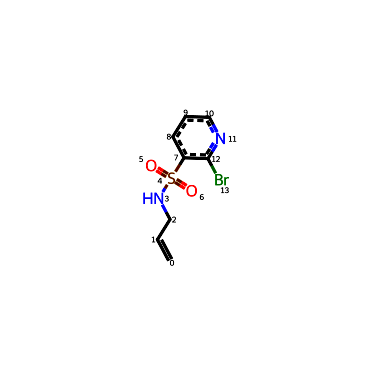 C=CCNS(=O)(=O)c1cccnc1Br